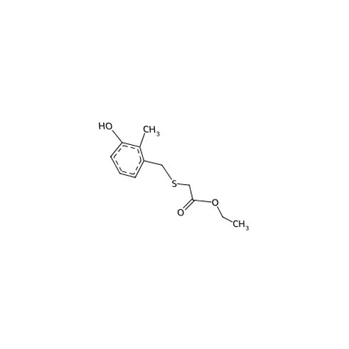 CCOC(=O)CSCc1cccc(O)c1C